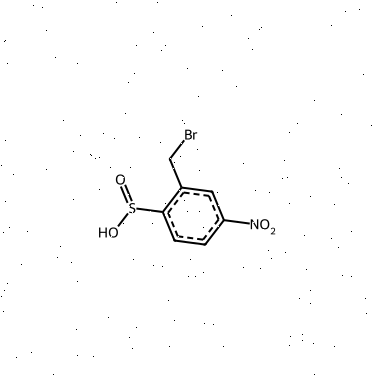 O=[N+]([O-])c1ccc(S(=O)O)c(CBr)c1